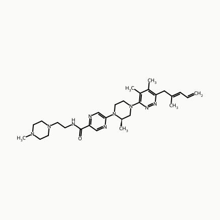 C=C/C=C(\C)Cc1nnc(N2CCN(c3cnc(C(=O)NCCN4CCN(C)CC4)cn3)[C@H](C)C2)c(C)c1C